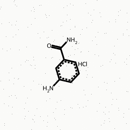 Cl.NC(=O)c1cccc(N)c1